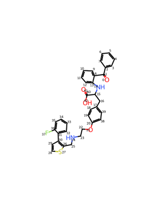 O=C(c1ccccc1)c1ccccc1NC(Cc1ccc(OCCNCc2sccc2-c2ccccc2F)cc1)C(=O)O